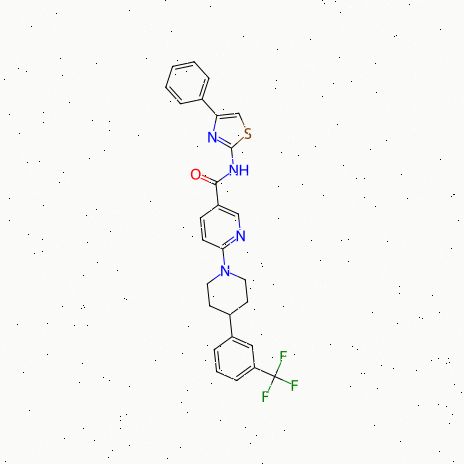 O=C(Nc1nc(-c2ccccc2)cs1)c1ccc(N2CCC(c3cccc(C(F)(F)F)c3)CC2)nc1